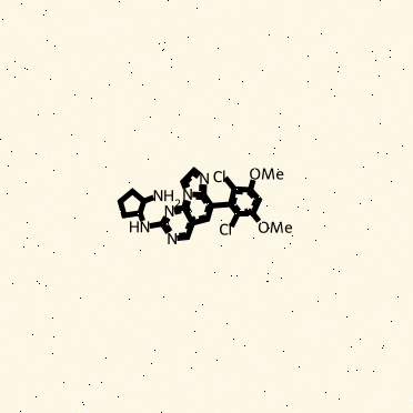 COc1cc(OC)c(Cl)c(-c2cc3cnc(NC4CCCC4N)nc3n3ccnc23)c1Cl